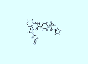 O=C(NC1CCCCC1NC(=O)c1ccc(Cl)s1)c1ccc(C2(CN3CCCC3)CC2)cc1